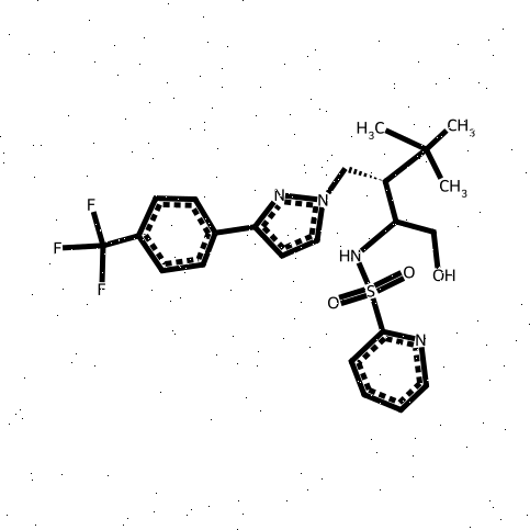 CC(C)(C)[C@@H](Cn1ccc(-c2ccc(C(F)(F)F)cc2)n1)C(CO)NS(=O)(=O)c1ccccn1